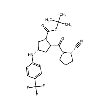 CC(C)(C)OC(=O)N1C[C@@H](Nc2ccc(C(F)(F)F)cn2)C[C@H]1C(=O)N1CCC[C@H]1C#N